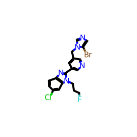 FCCCn1c(-c2cncc(Cn3cncc3Br)c2)nc2ccc(Cl)cc21